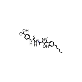 CCCCCc1ccc(-c2c(O)c(/C(C)=N/NC(=S)Nc3ccc(C(=O)O)cc3)nn2C)cc1